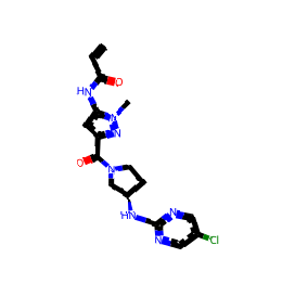 C=CC(=O)Nc1cc(C(=O)N2CC[C@@H](Nc3ncc(Cl)cn3)C2)nn1C